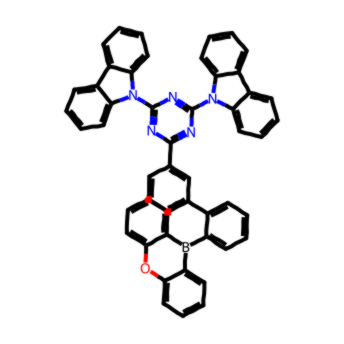 c1cc(-c2nc(-n3c4ccccc4c4ccccc43)nc(-n3c4ccccc4c4ccccc43)n2)cc(-c2ccccc2B2c3ccccc3Oc3ccccc32)c1